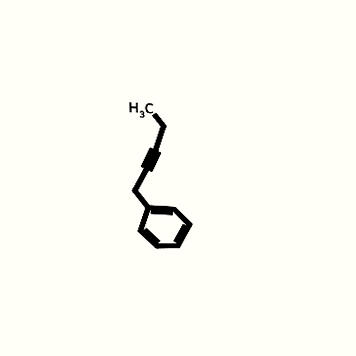 CCC#CCc1ccccc1